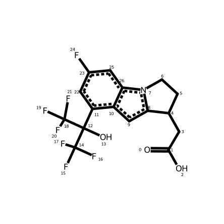 O=C(O)CC1CCn2c1cc1c(C(O)(C(F)(F)F)C(F)(F)F)cc(F)cc12